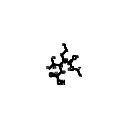 CCCN(C(=O)OCC)C(CC(=O)O)C(C)C